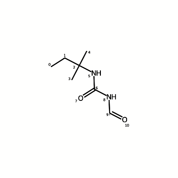 CCC(C)(C)NC(=O)N[C]=O